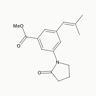 COC(=O)c1cc(C=C(C)C)cc(N2CCCC2=O)c1